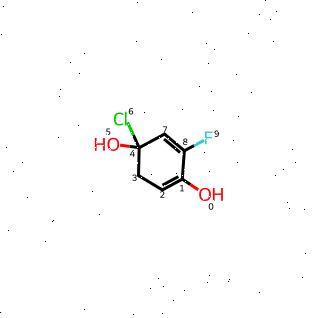 OC1=CCC(O)(Cl)C=C1F